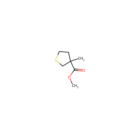 COC(=O)C1(C)CCSC1